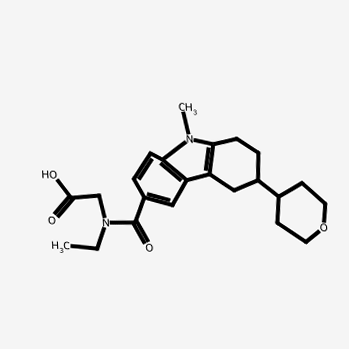 CCN(CC(=O)O)C(=O)c1ccc2c(c1)c1c(n2C)CCC(C2CCOCC2)C1